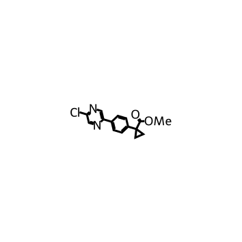 COC(=O)C1(c2ccc(-c3cnc(Cl)cn3)cc2)CC1